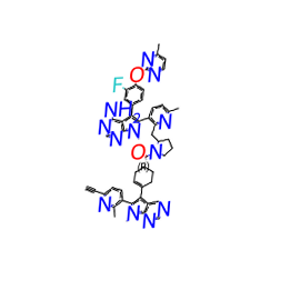 C#Cc1ccc(-c2c(C3=CC[C@H](C(=O)N4CCCC4Cc4nc(C)ccc4-c4c(-c5ccc(Oc6nccc(C)n6)c(F)c5)c5c(N)ncnc5n4C)CC3)c3cncnc3n2C)c(C)n1